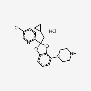 Cl.Clc1ccc(C2(CC3CC3)Oc3cccc(N4CCNCC4)c3O2)nc1